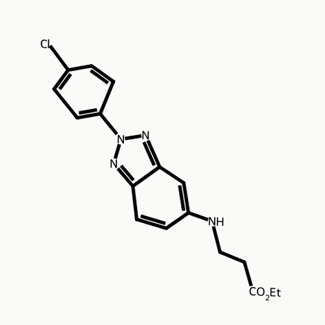 CCOC(=O)CCNc1ccc2nn(-c3ccc(Cl)cc3)nc2c1